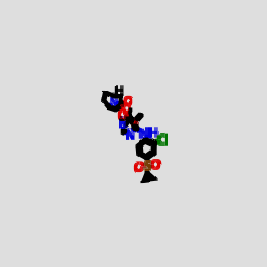 Cc1c(Nc2ccc(S(=O)(=O)C3CC3)cc2Cl)ncnc1OC1CC2CC[C@@H](C1)N2C(=O)OC(C)(C)C